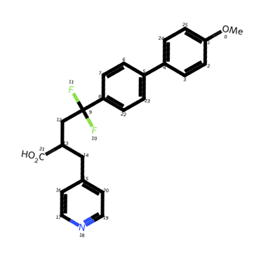 COc1ccc(-c2ccc(C(F)(F)CC(Cc3ccncc3)C(=O)O)cc2)cc1